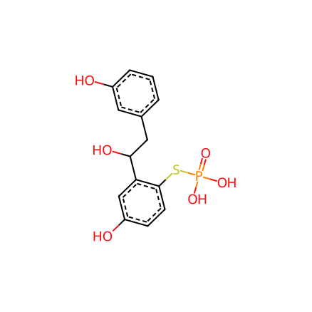 O=P(O)(O)Sc1ccc(O)cc1C(O)Cc1cccc(O)c1